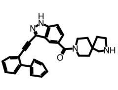 O=C(c1ccc2[nH]nc(C#Cc3ccccc3-c3ccccc3)c2c1)N1CCC2(CCNC2)CC1